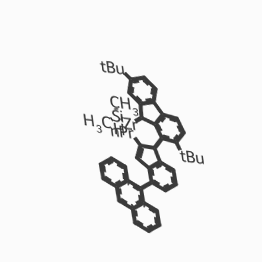 CCCC1=Cc2c(-c3c4ccccc4cc4ccccc34)cccc2C1c1c(C(C)(C)C)ccc2c1[CH]([Zr][SiH](C)C)c1cc(C(C)(C)C)ccc1-2